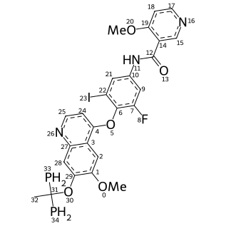 COc1cc2c(Oc3c(F)cc(NC(=O)c4cnccc4OC)cc3I)ccnc2cc1OC(C)(P)P